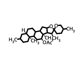 CC(=O)O[C@H]1CC2C(CC[C@@H]3CC(C)CC[C@]23C)C2CC3OC4(CCC(C)CO4)[C@@H](C)C3[C@]21C